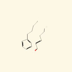 CCCC=CC=O.CCCCCc1ccccc1